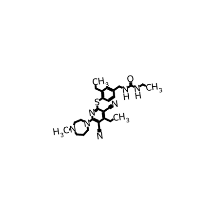 CCNC(=O)NCc1ccc(Sc2nc(N3CCCN(C)CC3)c(C#N)c(CC)c2C#N)c(CC)c1